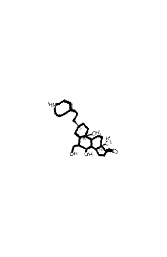 C[C@]12CC[C@H](CCC3CCNCC3)CC1C(CO)C(O)C1C2CC[C@]2(C)C(=O)CCC12